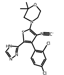 [C-]#[N+]c1c(N2CCOC(C)(C)C2)sc(-c2nnc[nH]2)c1-c1ccc(Cl)cc1Cl